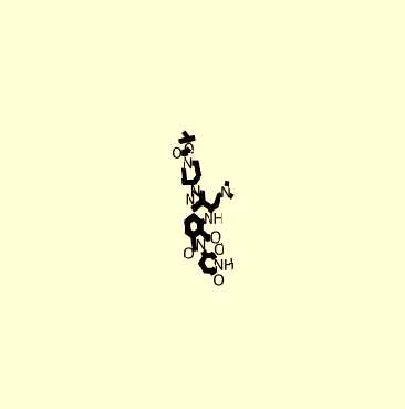 CN(C)CCC(Nc1cccc2c1C(=O)N(C1CCC(=O)NC1=O)C2=O)c1cnn(C2CCN(C(=O)OC(C)(C)C)CC2)c1